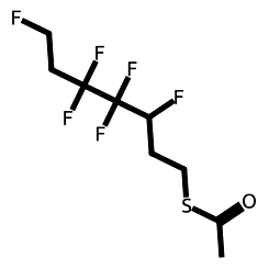 CC(=O)SCCC(F)C(F)(F)C(F)(F)CCF